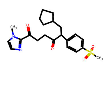 Cn1ccnc1C(=O)CCC(=O)C(CC1CCCC1)c1ccc(S(C)(=O)=O)cc1